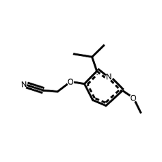 COc1ccc(OCC#N)c(C(C)C)n1